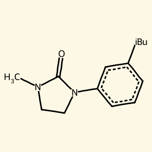 CCC(C)c1cccc(N2CCN(C)C2=O)c1